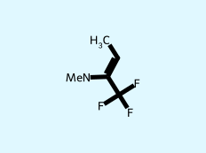 C/C=C(\NC)C(F)(F)F